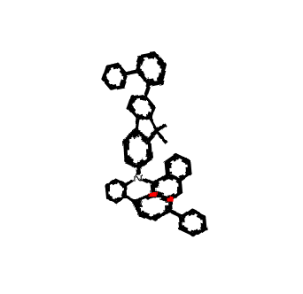 CC1(C)c2cc(-c3ccccc3-c3ccccc3)ccc2-c2ccc(N(c3ccccc3-c3ccc(-c4ccccc4)cc3)c3cccc4ccccc34)cc21